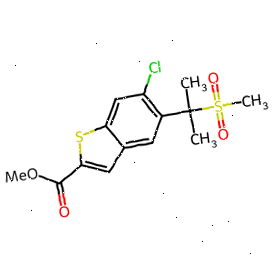 COC(=O)c1cc2cc(C(C)(C)S(C)(=O)=O)c(Cl)cc2s1